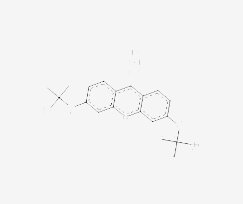 CCC(C)C(C)(C)Oc1ccc2cc3ccc(OC(C)(C)C(C)CC)cc3nc2c1.Cl.Cl.Cl